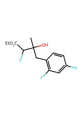 CCOC(=O)C(F)C(C)(O)Cc1ccc(F)cc1F